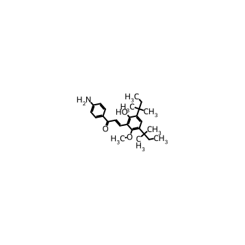 CCC(C)(C)c1cc(C(C)(C)CC)c(OC)c(C=CC(=O)c2ccc(N)cc2)c1O